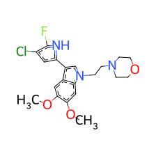 COc1cc2c(-c3cc(Cl)c(F)[nH]3)cn(CCN3CCOCC3)c2cc1OC